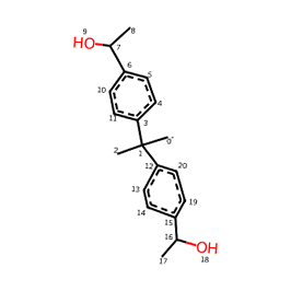 [CH2]C(C)(c1ccc(C(C)O)cc1)c1ccc(C(C)O)cc1